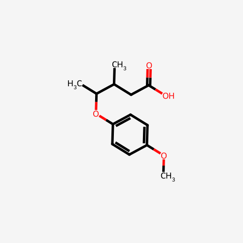 COc1ccc(OC(C)C(C)CC(=O)O)cc1